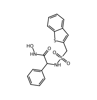 O=C(NO)C(NS(=O)(=O)Cc1cc2ccccc2s1)c1ccccc1